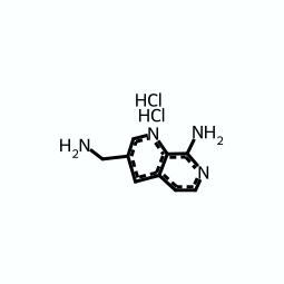 Cl.Cl.NCc1cnc2c(N)nccc2c1